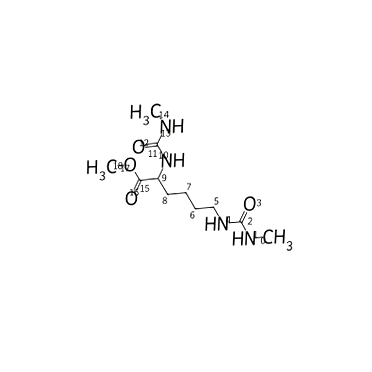 CNC(=O)NCCCCC(NC(=O)NC)C(=O)OC